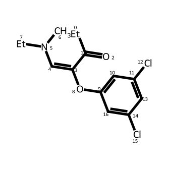 CCC(=O)C(=CN(C)CC)Oc1cc(Cl)cc(Cl)c1